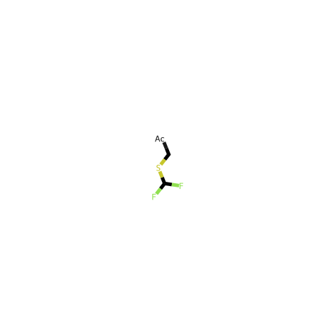 CC(=O)CSC(F)F